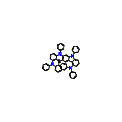 c1ccc(N2c3ccccc3B3c4cc5c6c(N(c7ccccc7)c7ccccc7)cccc6n(-c6ccccc6)c5cc4N(c4ccccc4)c4cccc2c43)cc1